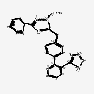 CCCCCn1nc(-c2ccccc2)nc1Cc1ccc(-c2ncccc2-c2nnn[nH]2)cc1